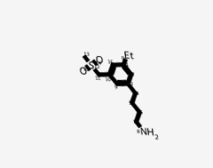 CCc1cc(CCCCN)cc(CS(C)(=O)=O)c1